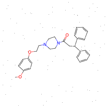 COc1ccc(OCCN2CCN(C(=O)CC(c3ccccc3)c3ccccc3)CC2)cc1